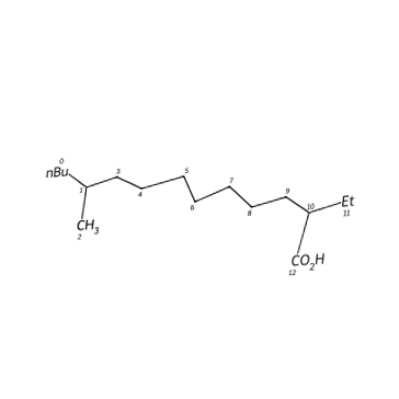 CCCCC(C)CCCCCCCC(CC)C(=O)O